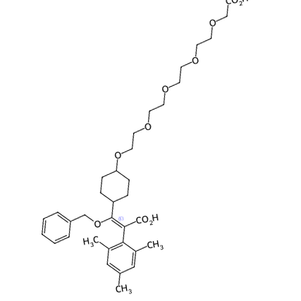 Cc1cc(C)c(/C(C(=O)O)=C(\OCc2ccccc2)C2CCC(OCCOCCOCCOCCOCC(=O)O)CC2)c(C)c1